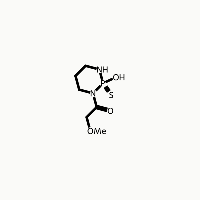 COCC(=O)N1CCCNP1(O)=S